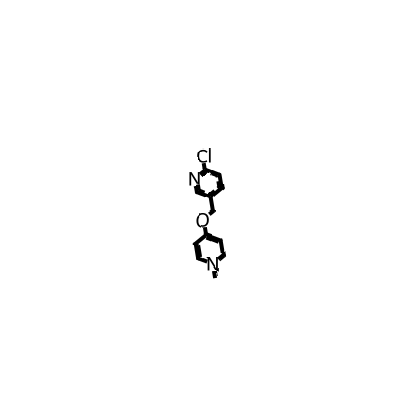 CN1C=CC(OCc2ccc(Cl)nc2)=CC1